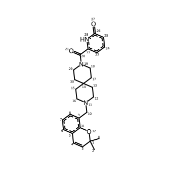 CC1(C)C=Cc2cccc(CN3CCC4(CC3)CCN(C(=O)c3cccc(=O)[nH]3)CC4)c2O1